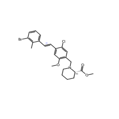 COC(=O)[C@@H]1CCCCN1Cc1cc(Cl)c(/C=C/c2cccc(Br)c2C)cc1OC